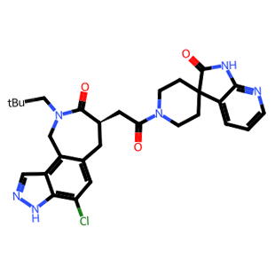 CC(C)(C)CN1Cc2c(cc(Cl)c3[nH]ncc23)C[C@H](CC(=O)N2CCC3(CC2)C(=O)Nc2ncccc23)C1=O